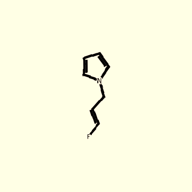 FC=CCn1cccc1